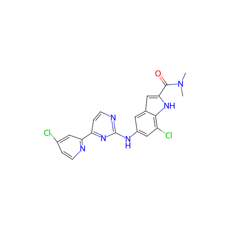 CN(C)C(=O)c1cc2cc(Nc3nccc(-c4cc(Cl)ccn4)n3)cc(Cl)c2[nH]1